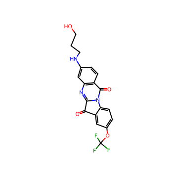 O=C1c2cc(OC(F)(F)F)ccc2-n2c1nc1cc(NCCCO)ccc1c2=O